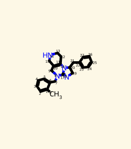 Cc1ccccc1CN1CC2=C(CCNC2)N2C1=NCC2Cc1ccccc1